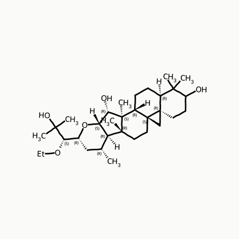 CCO[C@@H]([C@H]1C[C@@H](C)[C@H]2[C@H](O1)[C@H](O)[C@@]1(C)[C@@H]3CC[C@H]4C(C)(C)C(O)CC[C@@]45C[C@@]35CC[C@]21C)C(C)(C)O